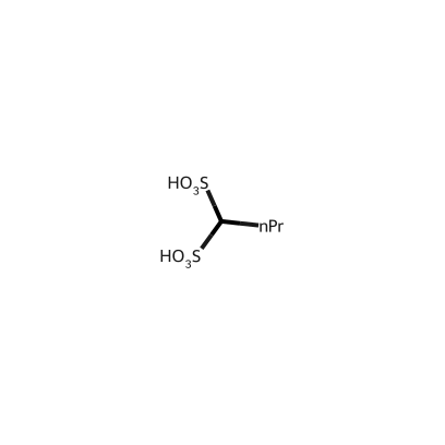 [CH2]CCC(S(=O)(=O)O)S(=O)(=O)O